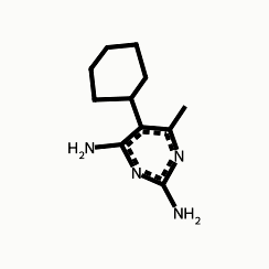 Cc1nc(N)nc(N)c1C1CCCCC1